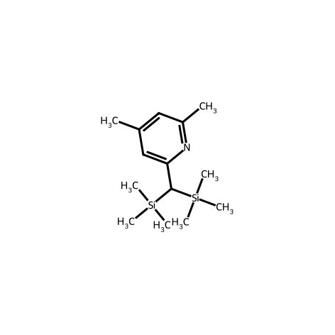 Cc1cc(C)nc(C([Si](C)(C)C)[Si](C)(C)C)c1